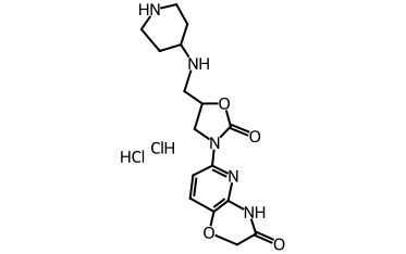 Cl.Cl.O=C1COc2ccc(N3CC(CNC4CCNCC4)OC3=O)nc2N1